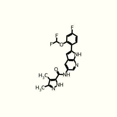 Cc1n[nH]c(C(=O)Nc2cnc3[nH]c(-c4ccc(F)cc4OC(F)F)cc3c2)c1C